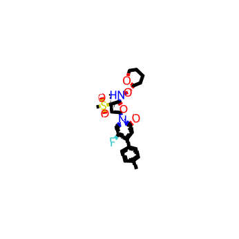 Cc1ccc(-c2cc(=O)n(CC[C@](C)(C(=O)NOC3CCCCO3)S(C)(=O)=O)cc2F)cc1